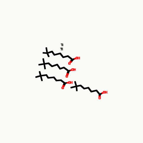 CC(C)(C)CCCCCC(=O)O.CC(C)(C)CCCCCC(=O)O.CC(C)(C)CCCCCC(=O)O.CC(C)(C)CCCCCC(=O)O.[Ti].[Ti]